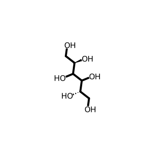 OC[C@@H](O)C(O)C(O)[C@@H](O)CO